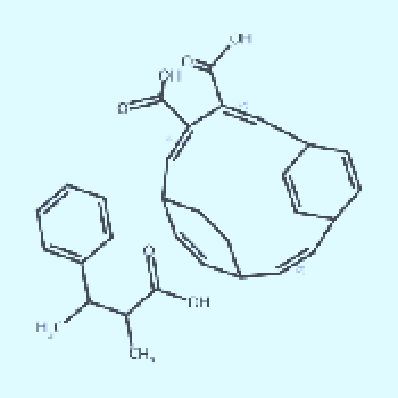 CC(C(=O)O)C(C)c1ccccc1.O=C(O)C1=C\C2C=CC(C=C2)/C=C\C2C=CC(/C=C\1C(=O)O)CC2